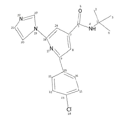 CC(C)(C)NC(=O)c1cc(-c2ccc(Cl)cc2)nc(-n2ccnc2)c1